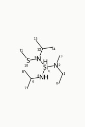 CCN(C)[SiH](NC(C)C)N(SC)C(C)C